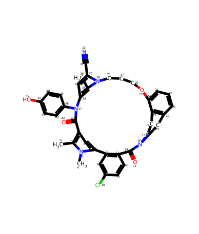 Cc1c2cc(n1C)-c1cc(Cl)ccc1C(=O)N1CCc3c(cccc3OCCCn3c(C#N)cc(c3C)N(c3ccc(O)cc3)C2=O)C1